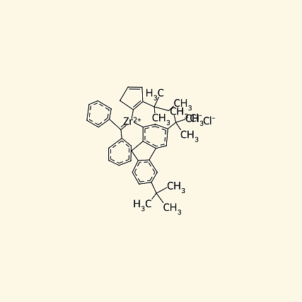 CCC(C)(C)C1=[C]([Zr+2](=[C](c2ccccc2)c2ccccc2)[c]2cc(C(C)(C)C)cc3c2Cc2ccc(C(C)(C)C)cc2-3)CC=C1.[Cl-].[Cl-]